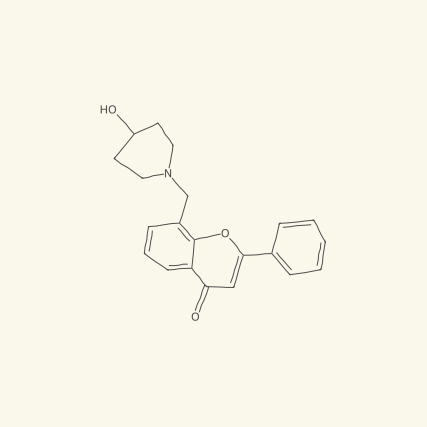 O=c1cc(-c2ccccc2)oc2c(CN3CCC(O)CC3)cccc12